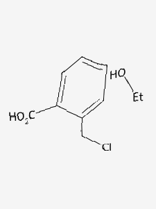 CCO.O=C(O)c1ccccc1CCl